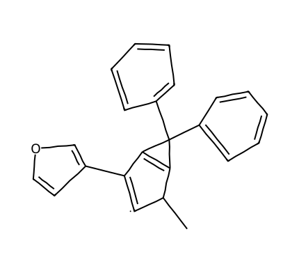 CC1[C]=C(c2ccoc2)C2=C1C2(c1ccccc1)c1ccccc1